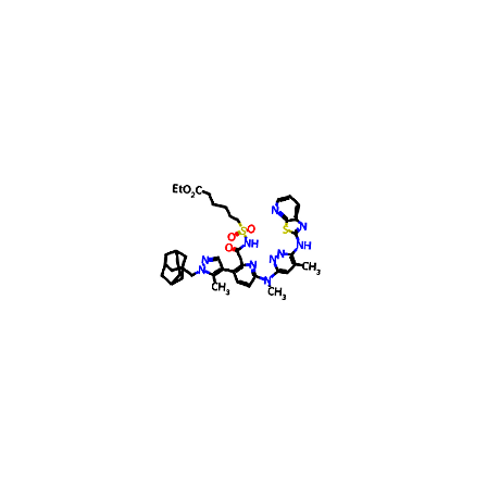 CCOC(=O)CCCCCS(=O)(=O)NC(=O)c1nc(N(C)c2cc(C)c(Nc3nc4cccnc4s3)nn2)ccc1-c1cnn(CC23CC4CC(CC(C4)C2)C3)c1C